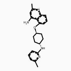 Cc1cccc(N[C@H]2CC[C@H](Oc3cccc4nc(C)cc(N)c34)CC2)n1